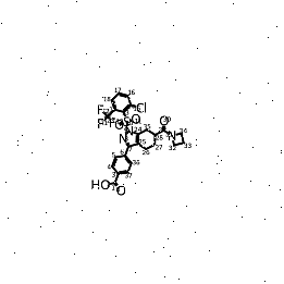 O=C(O)c1ccc(-c2nn(S(=O)(=O)c3c(Cl)cccc3C(F)(F)F)c3c2CCC(C(=O)N2CCC2)C3)cc1